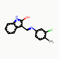 Cc1ccc(N=Cc2c(O)[nH]c3ccccc23)cc1Cl